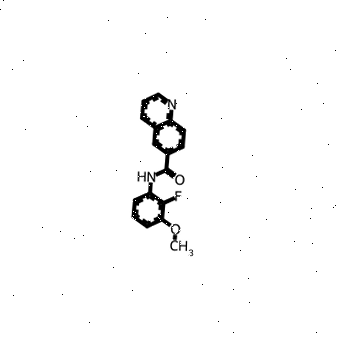 COc1cccc(NC(=O)c2ccc3ncccc3c2)c1F